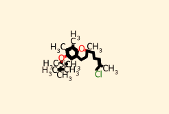 CC(=CCCC1(C)CCc2cc(O[Si](C)(C)C(C)(C)C)c(C)c(C)c2O1)CCl